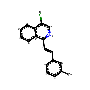 CCc1cccc(/C=C/c2ncc(Cl)c3ccccc23)c1